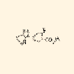 O=C(O)c1ccc(-n2nnc3cccnc32)cc1F